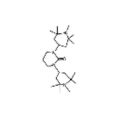 CN1C(C)(C)CC(N2CCCN(C3CC(C)(C)N(C)C(C)(C)C3)C2=O)CC1(C)C